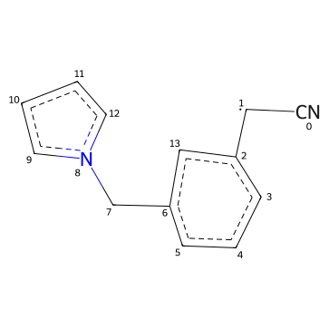 N#C[CH]c1cccc(Cn2cccc2)c1